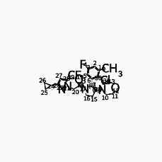 Cc1cc(F)cc([C@@H]2[C@H](N3CCOCC3)CCN2C(=O)Cn2nc(C3CC3)cc2C(F)(F)F)c1Cl